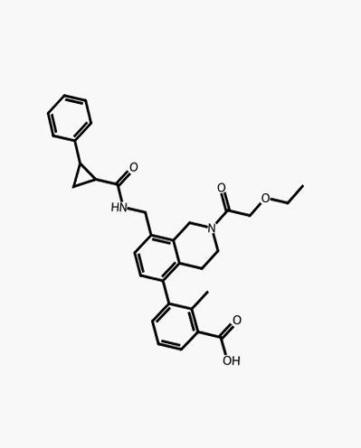 CCOCC(=O)N1CCc2c(-c3cccc(C(=O)O)c3C)ccc(CNC(=O)C3CC3c3ccccc3)c2C1